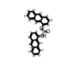 O=[PH](Oc1cccc2cc3ccccc3cc12)Oc1cccc2cc3ccccc3cc12